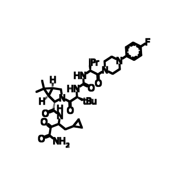 CC(C)[C@H](NC(=O)N[C@H](C(=O)N1C[C@H]2[C@@H]([C@H]1C(=O)NC(CC1CC1)C(=O)C(N)=O)C2(C)C)C(C)(C)C)C(=O)N1CCN(c2ccc(F)cc2)CC1